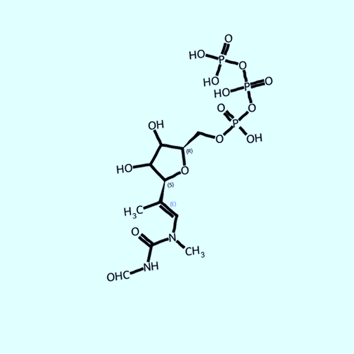 C/C(=C\N(C)C(=O)NC=O)[C@@H]1O[C@H](COP(=O)(O)OP(=O)(O)OP(=O)(O)O)C(O)C1O